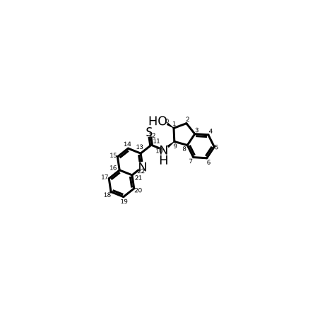 O[C@H]1Cc2ccccc2[C@H]1NC(=S)c1ccc2ccccc2n1